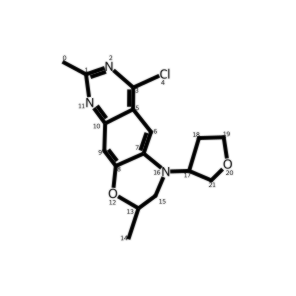 Cc1nc(Cl)c2cc3c(cc2n1)OC(C)CN3C1CCOC1